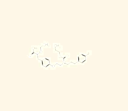 CCCOC(=O)N(CCCc1ccc(F)cc1)CCOc1ccc(CC(OCC)C(=O)O)cc1